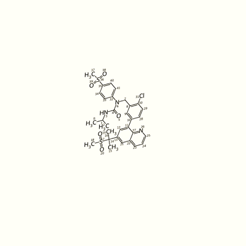 CC(C)NC(=O)N(Cc1cc(-c2cc(C(C)(C)S(C)(=O)=O)cc3cccnc23)ccc1Cl)c1ccc(S(C)(=O)=O)cc1